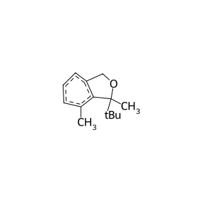 Cc1cccc2c1C(C)(C(C)(C)C)OC2